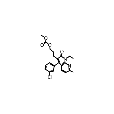 CCn1c(=O)c(CCCOC(=O)OC)c(-c2cccc(Cl)c2)c2ccc(C)nc21